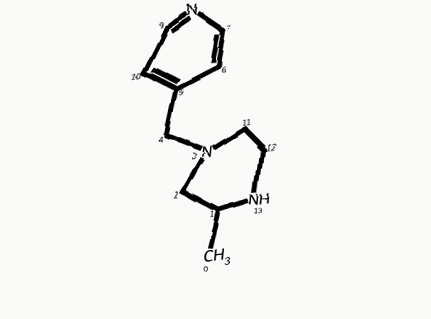 CC1CN(Cc2ccncc2)CCN1